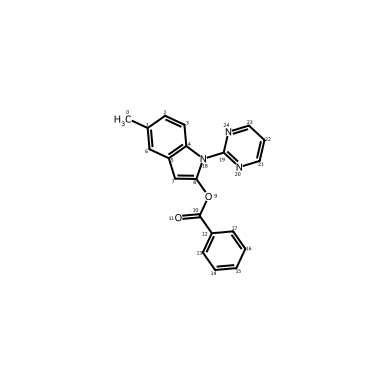 Cc1ccc2c(c1)cc(OC(=O)c1ccccc1)n2-c1ncccn1